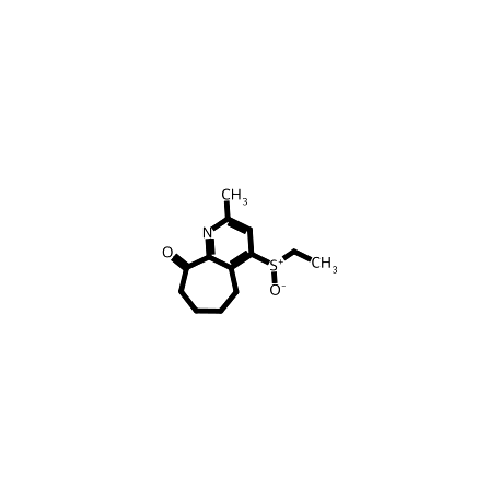 CC[S+]([O-])c1cc(C)nc2c1CCCCC2=O